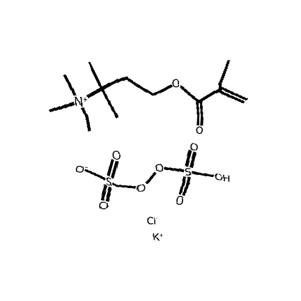 C=C(C)C(=O)OCCC(C)(C)[N+](C)(C)C.O=S(=O)([O-])OOS(=O)(=O)O.[Cl-].[K+]